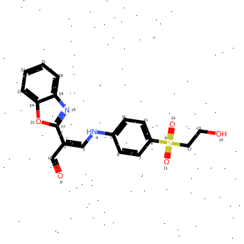 O=C/C(=C/Nc1ccc(S(=O)(=O)CCO)cc1)c1nc2ccccc2o1